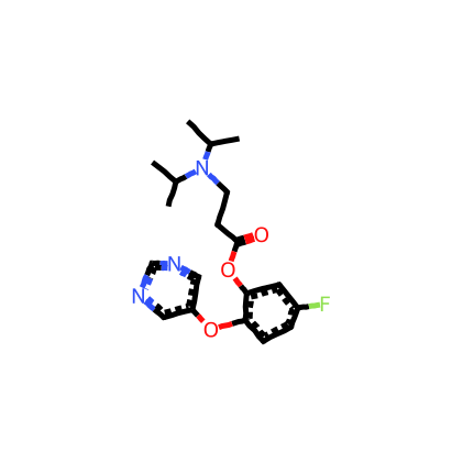 CC(C)N(CCC(=O)Oc1cc(F)ccc1Oc1cncnc1)C(C)C